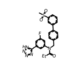 CCC(=O)N(Cc1ccc(-c2cccc(S(C)(=O)=O)c2)cc1)c1cc(F)cc(-c2nnn[nH]2)c1